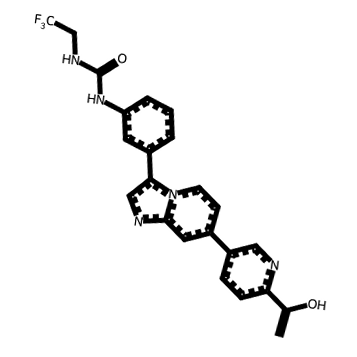 C=C(O)c1ccc(-c2ccn3c(-c4cccc(NC(=O)NCC(F)(F)F)c4)cnc3c2)cn1